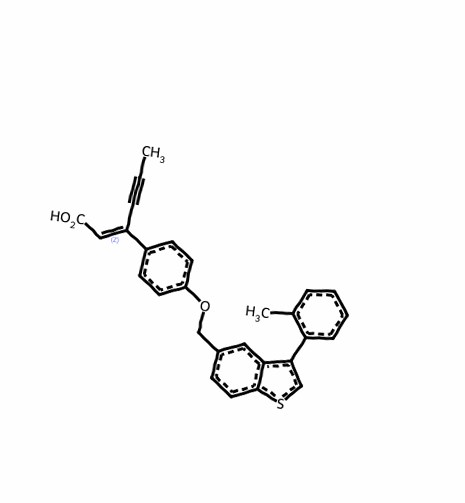 CC#C/C(=C\C(=O)O)c1ccc(OCc2ccc3scc(-c4ccccc4C)c3c2)cc1